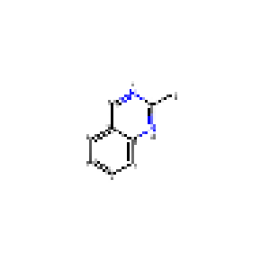 [CH2]c1ncc2ccccc2n1